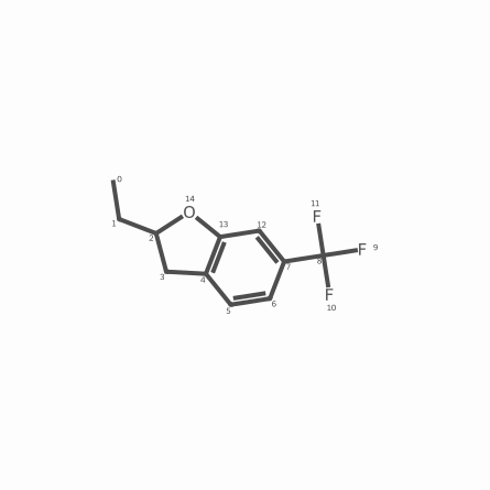 CCC1Cc2ccc(C(F)(F)F)cc2O1